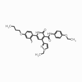 CCCCOc1ccc(-c2cc(-c3ccn(CC)n3)c(C(=O)Nc3ccc(OCC)cc3)c(=O)[nH]2)c(F)c1